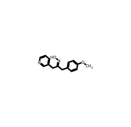 COc1ccc(CC(Cc2cccnc2)=NO)cc1